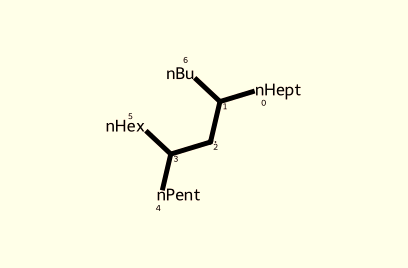 CCCCCCCC([CH]C(CCCCC)CCCCCC)CCCC